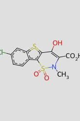 CN1C(C(=O)O)=C(O)c2sc3cc(Cl)ccc3c2S1(=O)=O